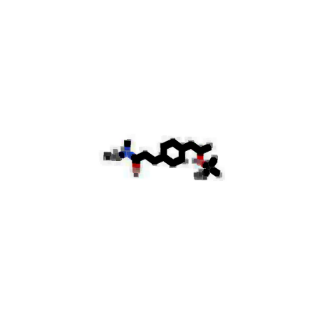 CON(C)C(=O)CCC1CCC(CC(C)O[Si](C)(C)C(C)(C)C)CC1